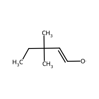 CCC(C)(C)C=C[O]